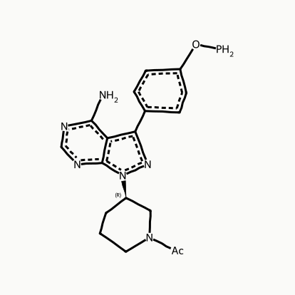 CC(=O)N1CCC[C@@H](n2nc(-c3ccc(OP)cc3)c3c(N)ncnc32)C1